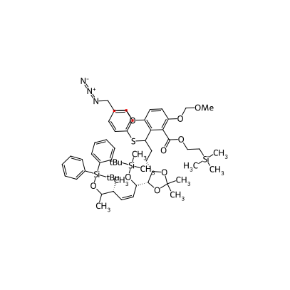 COCOc1ccc(OCCCN=[N+]=[N-])c(C(CC[C@@H]2OC(C)(C)O[C@@H]2C(/C=C\[C@@H](C)C(C)O[Si](c2ccccc2)(c2ccccc2)C(C)(C)C)O[Si](C)(C)C(C)(C)C)Sc2ccccc2)c1C(=O)OCC[Si](C)(C)C